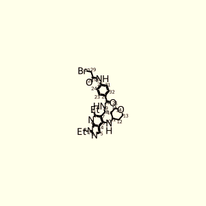 CCc1nc2c(cnn2CC)c(NC2CCOCC2)c1CNC(=O)c1ccc(NC(=O)CBr)cc1